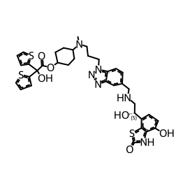 CN(CCCn1nnc2cc(CNC[C@@H](O)c3ccc(O)c4[nH]c(=O)sc34)ccc21)C1CCC(OC(=O)C(O)(c2cccs2)c2cccs2)CC1